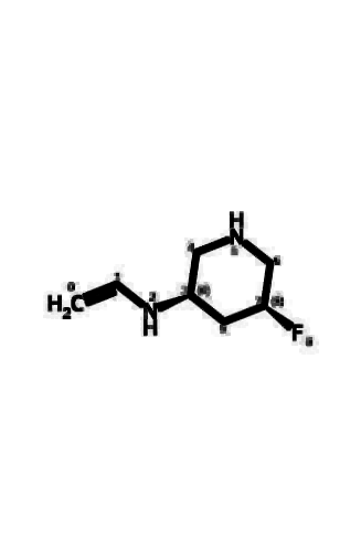 C=CN[C@H]1CNC[C@@H](F)C1